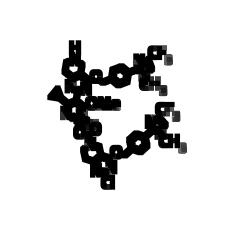 COc1ncnc(C2CC2)c1-c1nc2c(c(OCc3ccc(-c4nc(C(F)(F)F)cn4C)cc3)n1)CNCC2.Cn1cc(C(F)(F)F)nc1-c1ccc(COc2nc(Cl)nc3c2CN(C(=O)OC(C)(C)C)CC3)cc1